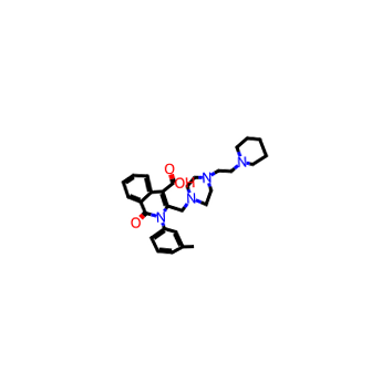 Cc1cccc(-n2c(CN3CCN(CCN4CCCCC4)CC3)c(C(=O)O)c3ccccc3c2=O)c1